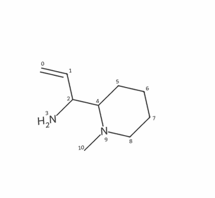 C=CC(N)C1CCCCN1C